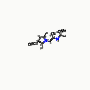 CO/C(C)=N\C(C#N)=C\n1c(C)cc(C=O)c1C